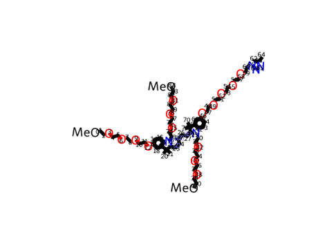 COCCOCCOCCOCCOc1ccc2c(c1)C(C)(C)C(\C=C/C=C\C=C1\N(CCOCCOCCOCCOC)c3ccc(OCCOCCOCCOCCOCCn4cc(C)nn4)cc3C1(C)C)=[N+]2CCOCCOCCOCCOC